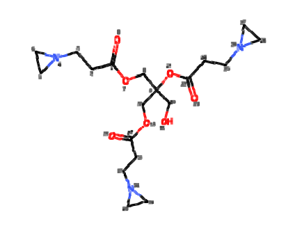 O=C(CCN1CC1)OCC(CO)(COC(=O)CCN1CC1)OC(=O)CCN1CC1